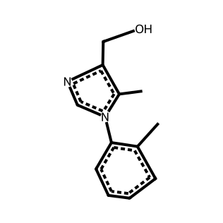 Cc1ccccc1-n1cnc(CO)c1C